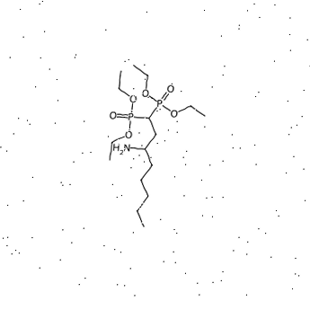 CCCCCC(N)CC(P(=O)(OCC)OCC)P(=O)(OCC)OCC